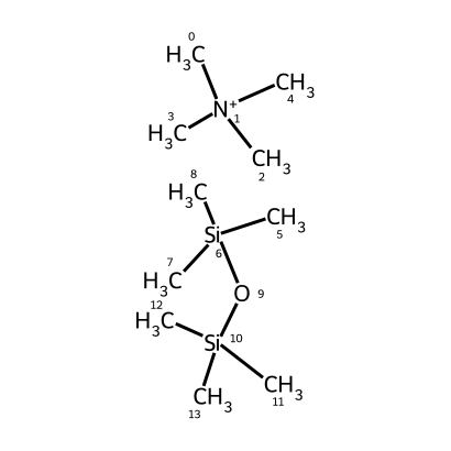 C[N+](C)(C)C.C[Si](C)(C)O[Si](C)(C)C